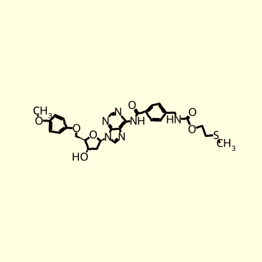 COc1ccc(OC[C@H]2O[C@@H](n3cnc4c(NC(=O)c5ccc(CNC(=O)OCCSC)cc5)ncnc43)C[C@H]2O)cc1